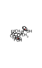 Cc1c(C(F)(F)F)c(Cl)c(C(F)(F)F)c2c(S(=O)(=O)O)cc(C(C)OCC34CC5CC(CC(O)(C5)C3)C4)cc12